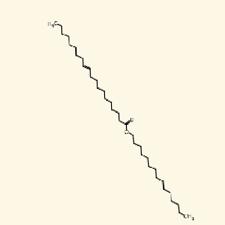 CCCCCCCCC=CCCCCCCCCCC(=O)OCCCCCCCCCCCCCCC